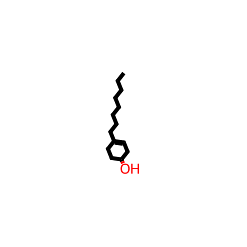 CCCCCCCCC1=CCC(O)CC1